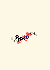 CCOC(=O)[C@H]1CCCN(C(=O)C(C=O)c2ccc3c(-c4ccccc4C)cc(=O)oc3c2)C1